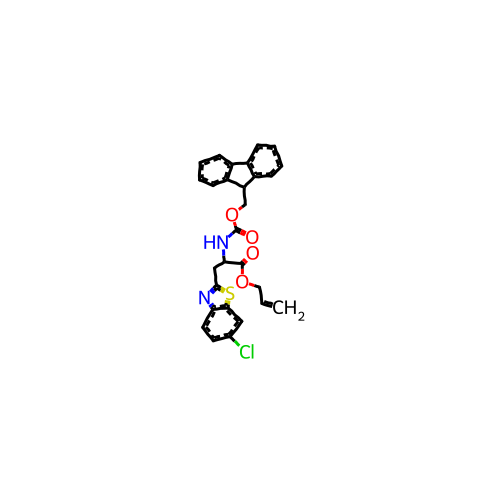 C=CCOC(=O)C(Cc1nc2ccc(Cl)cc2s1)NC(=O)OCC1c2ccccc2-c2ccccc21